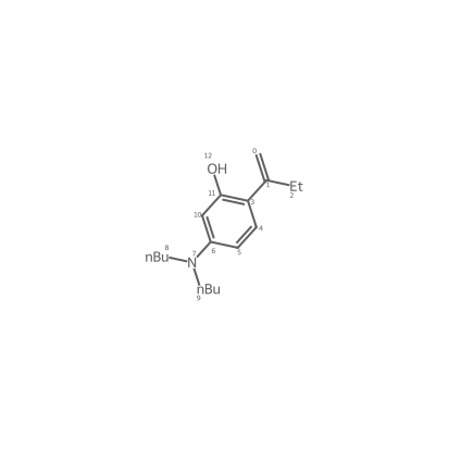 C=C(CC)c1ccc(N(CCCC)CCCC)cc1O